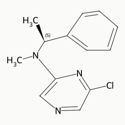 C[C@@H](c1ccccc1)N(C)c1cncc(Cl)n1